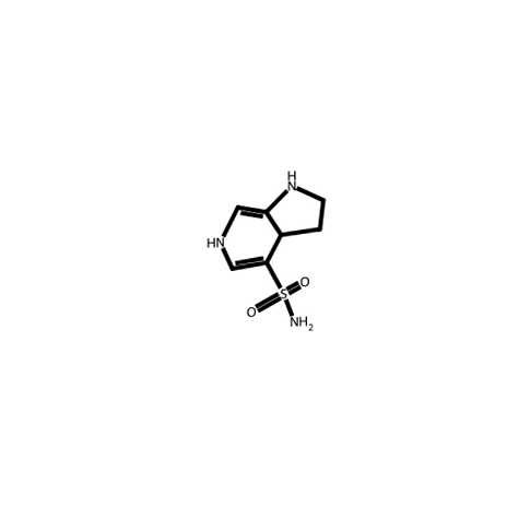 NS(=O)(=O)C1=CNC=C2NCCC21